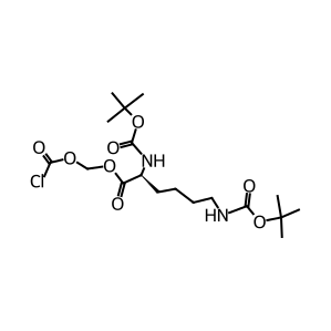 CC(C)(C)OC(=O)NCCCC[C@H](NC(=O)OC(C)(C)C)C(=O)OCOC(=O)Cl